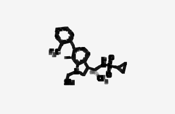 Cc1c(-c2ccccc2C(F)(F)F)ccc2c1N(CC(C)(C)C)CC2[C@H](NS(=O)(=O)C1CC1)C(F)(F)F